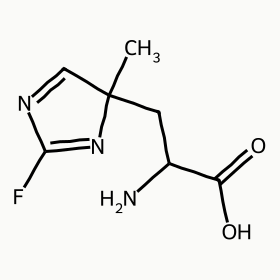 CC1(CC(N)C(=O)O)C=NC(F)=N1